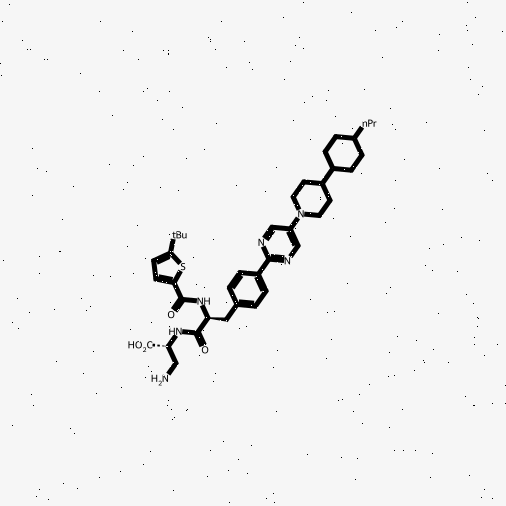 CCCC1CCC(C2CCN(c3cnc(-c4ccc(C[C@H](NC(=O)c5ccc(C(C)(C)C)s5)C(=O)N[C@H](CN)C(=O)O)cc4)nc3)CC2)CC1